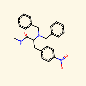 CNC(=O)[C@H](Cc1ccc([N+](=O)[O-])cc1)N(Cc1ccccc1)Cc1ccccc1